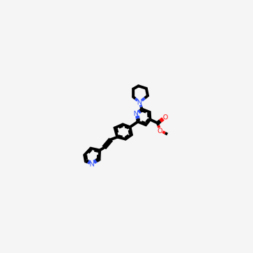 COC(=O)c1cc(-c2ccc(C#Cc3cccnc3)cc2)nc(N2CCCCC2)c1